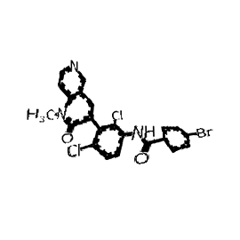 Cn1c(=O)c(-c2c(Cl)ccc(NC(=O)c3ccc(Br)cc3)c2Cl)cc2cnccc21